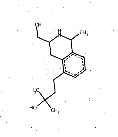 CCC1Cc2c(CCC(C)(C)O)cccc2C(C)N1